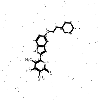 Cc1c(-c2cc3cc(OCCC4CCCCC4)ccc3o2)oc(=O)c(C)c1O